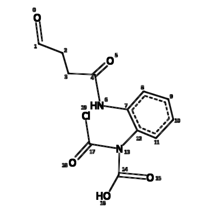 O=CCCC(=O)Nc1ccccc1N(C(=O)O)C(=O)Cl